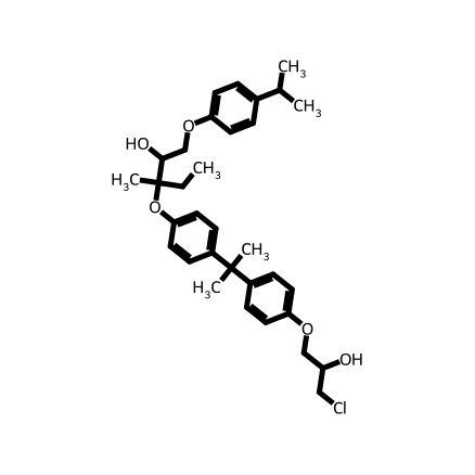 CCC(C)(Oc1ccc(C(C)(C)c2ccc(OCC(O)CCl)cc2)cc1)C(O)COc1ccc(C(C)C)cc1